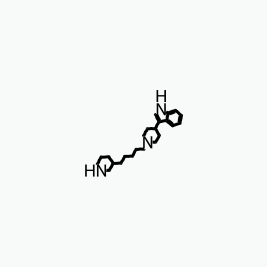 c1ccc2c(C3CCN(CCCCCC4CCCNC4)CC3)c[nH]c2c1